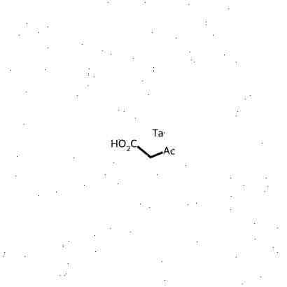 CC(=O)CC(=O)O.[Ta]